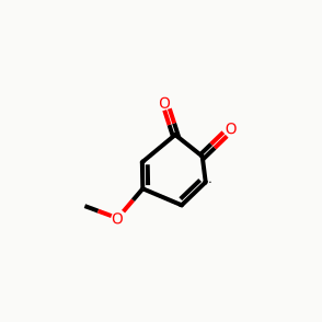 COC1=CC(=O)C(=O)[C]=C1